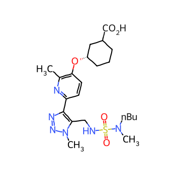 CCCCN(C)S(=O)(=O)NCc1c(-c2ccc(O[C@H]3CCCC(C(=O)O)C3)c(C)n2)nnn1C